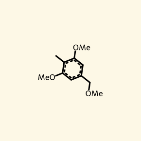 COCc1cc(OC)c(C)c(OC)c1